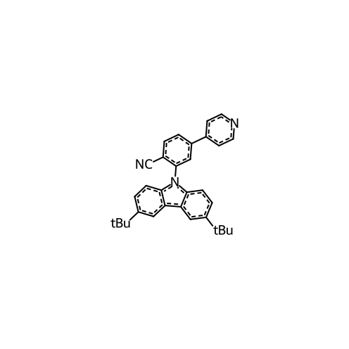 CC(C)(C)c1ccc2c(c1)c1cc(C(C)(C)C)ccc1n2-c1cc(-c2ccncc2)ccc1C#N